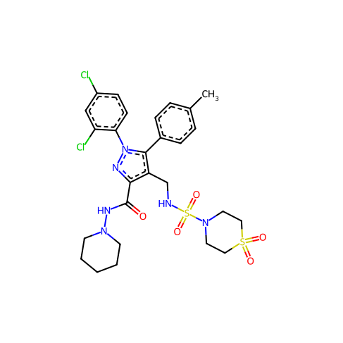 Cc1ccc(-c2c(CNS(=O)(=O)N3CCS(=O)(=O)CC3)c(C(=O)NN3CCCCC3)nn2-c2ccc(Cl)cc2Cl)cc1